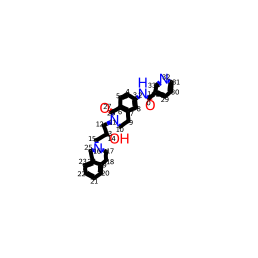 O=C(Nc1ccc2c(c1)CCN(C[C@H](O)CN1CCc3ccccc3C1)C2=O)c1cccnc1